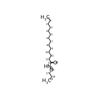 CCCCCCCCCCCCCC(=O)NOCCC